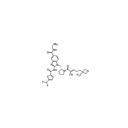 CC(C)(C)CNC(=O)c1ccc2c(c1)nc(NC(=O)c1ccc(C(F)F)s1)n2C[C@H]1CCCN1C(=O)/C(C#N)=C/CCC1(C)COC1